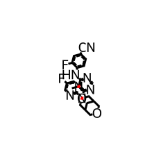 Cc1c(Nc2ccc(C#N)cc2F)ncnc1OC1C2COCC1CN(c1ncc(F)cn1)C2